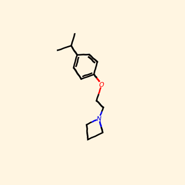 CC(C)c1ccc(OCCN2CCC2)cc1